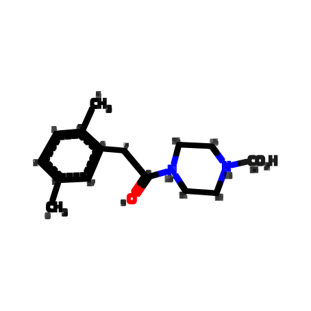 Cc1ccc(C)c(CC(=O)N2CCN(C(=O)O)CC2)c1